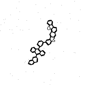 c1cc(-c2ccc3sc4cc5ccc6c7ccccc7oc6c5cc4c3c2)cc(-c2c3ccccc3c(-c3ccc4ccccc4c3)c3ccccc23)c1